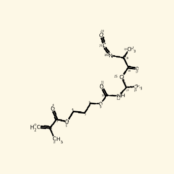 C=C(C)C(=O)OCCCOC(=O)NC(C)OC(=O)C(C)N=C=O